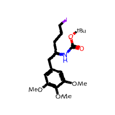 COc1cc(CC(CCCI)NC(=O)OC(C)(C)C)cc(OC)c1OC